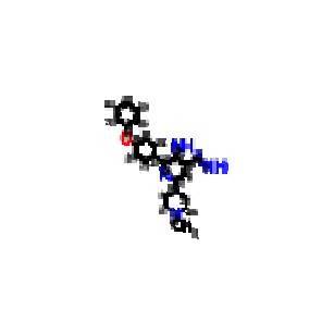 CN1CCC(c2cc(C=N)c(N)c(-c3ccc(Oc4ccccc4)cc3)n2)CC1